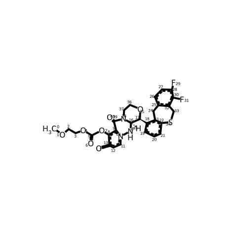 COCCOC(=O)Oc1c2n(ccc1=O)N[C@@H]1[C@H](c3cccc4c3Cc3ccc(F)c(F)c3CS4)OCCN1C2=O